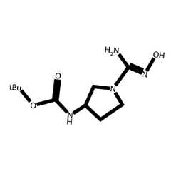 CC(C)(C)OC(=O)NC1CCN(/C(N)=N/O)C1